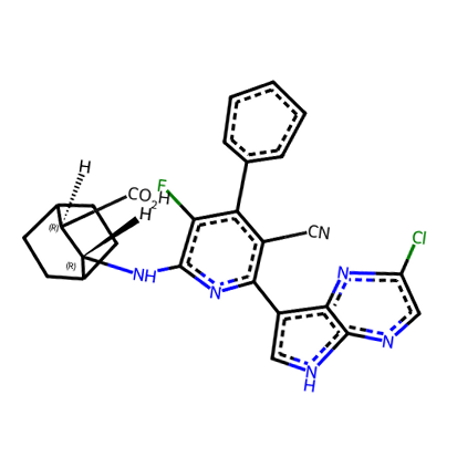 N#Cc1c(-c2c[nH]c3ncc(Cl)nc23)nc(N[C@@H]2C3CCC(CC3)[C@H]2C(=O)O)c(F)c1-c1ccccc1